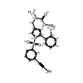 CC(C)C#Cc1cccc(S(=O)(=O)n2cc(CN(C)C(=O)OC(C)(C)C)cc2-c2ccccc2F)c1